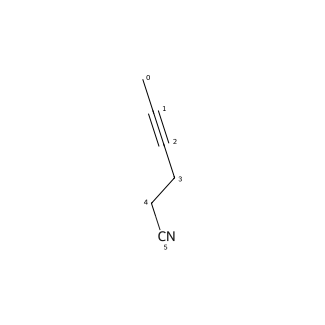 CC#CCCC#N